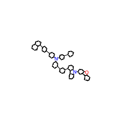 c1ccc(-c2ccc(N(c3ccc(-c4ccc(-c5cccc6ccccc56)cc4)cc3)c3cccc(-c4cccc(-c5cccc6c5c5ccccc5n6-c5ccc6oc7ccccc7c6c5)c4)c3)cc2)cc1